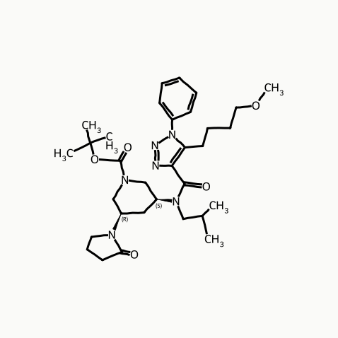 COCCCCc1c(C(=O)N(CC(C)C)[C@H]2C[C@@H](N3CCCC3=O)CN(C(=O)OC(C)(C)C)C2)nnn1-c1ccccc1